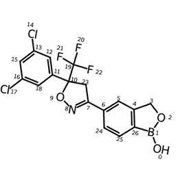 OB1OCc2cc(C3=NOC(c4cc(Cl)cc(Cl)c4)(C(F)(F)F)C3)ccc21